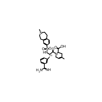 CC1=CCN(C(=O)[C@H](Cc2cccc(C(=N)N)c2)NS(=O)(=O)c2ccc3c(c2)CCN(C)CC3)C(C(=O)O)C1